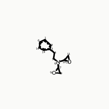 c1ccc(CCN(C2CO2)C2CO2)cc1